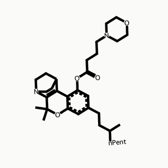 CCCCCC(C)CCc1cc(OC(=O)CCCN2CCOCC2)c2c(c1)OC(C)(C)C1=C2C2CCN1CC2